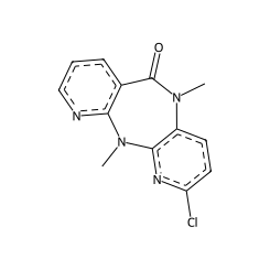 CN1C(=O)c2cccnc2N(C)c2nc(Cl)ccc21